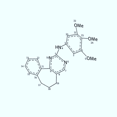 COc1cc(Nc2ncc3c(n2)-c2ccccc2CCC3)cc(OC)c1OC